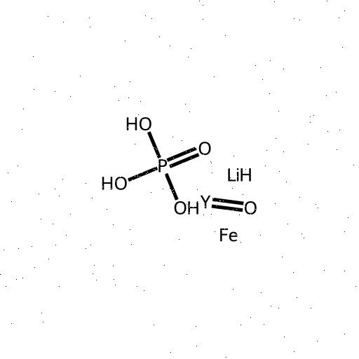 O=P(O)(O)O.[Fe].[LiH].[O]=[Y]